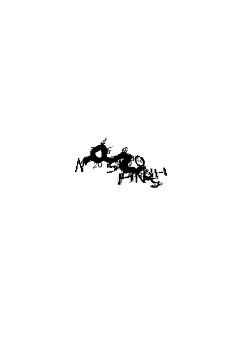 N#Cc1cccc(-c2ccc(/C=C3/NC(=S)NC3=O)s2)c1